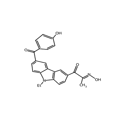 CCn1c2ccc(C(=O)/C(C)=N/O)cc2c2cc(C(=O)c3ccc(O)cc3)ccc21